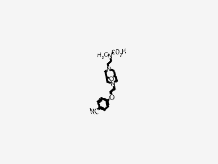 CN(CCN1CC2CN(CCOc3ccc(C#N)cc3)CC(C1)O2)C(=O)O